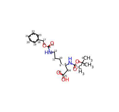 CC(C)(C)OC(=O)N[C@@H](CCCCNC(=O)OCc1ccccc1)CC(=O)O